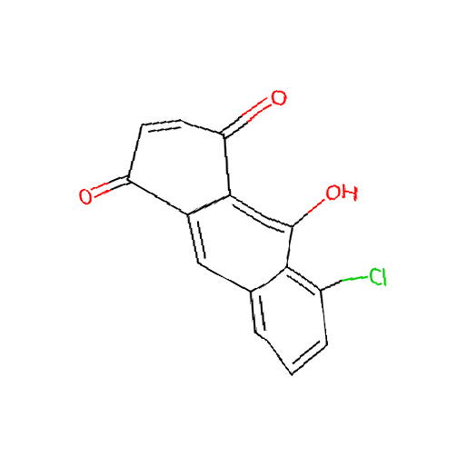 O=C1C=CC(=O)c2c1cc1cccc(Cl)c1c2O